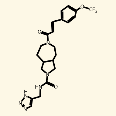 O=C(/C=C/c1ccc(OC(F)(F)F)cc1)N1CCC2CN(C(=O)NCc3cnn[nH]3)CC2CC1